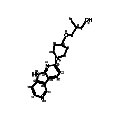 OCC(I)COC1CCN(c2ccc3c(n2)[nH]c2ccncc23)CC1